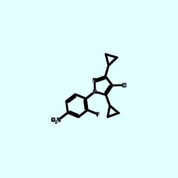 O=[N+]([O-])c1ccc(-n2nc(C3CC3)c(Cl)c2C2CC2)c(F)c1